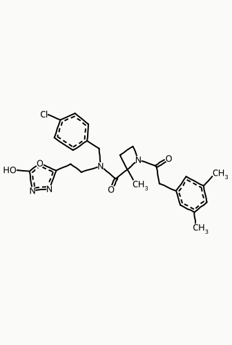 Cc1cc(C)cc(CC(=O)N2CCC2(C)C(=O)N(CCc2nnc(O)o2)Cc2ccc(Cl)cc2)c1